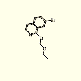 CCOCOc1nccc2ccc(Br)cc12